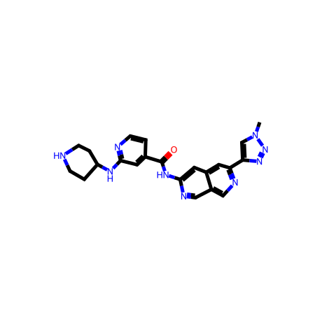 Cn1cc(-c2cc3cc(NC(=O)c4ccnc(NC5CCNCC5)c4)ncc3cn2)nn1